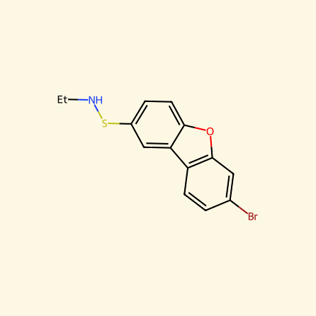 CCNSc1ccc2oc3cc(Br)ccc3c2c1